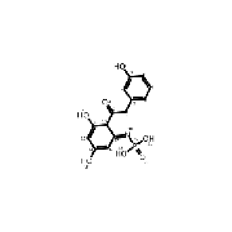 O=C(Cc1cccc(O)c1)C1C(O)=CC(O)=CC1=NP(=O)(O)O